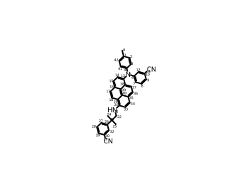 Cc1ccc(N(c2cccc(C#N)c2)c2ccc3ccc4c(NCC(C)(C)c5cccc(C#N)c5)ccc5ccc2c3c54)cc1